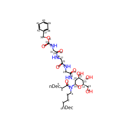 CCCCCCCCCCCCCCN(C(=O)CCCCCCCCCCC)[C@@H]1O[C@H](CO)[C@@H](O)[C@H](O)[C@H]1NC(=O)CNC(=O)CNC(=O)CNC(=O)OCc1ccccc1